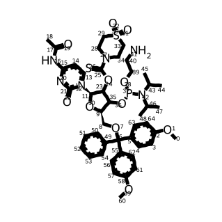 COc1ccc(C(OC[C@H]2O[C@@H](n3ccc(NC(C)=O)nc3=O)C(OC(=S)N3CCS(=O)(=O)CC3)C2OP(OCCN)N(C(C)C)C(C)C)(c2ccccc2)c2ccc(OC)cc2)cc1